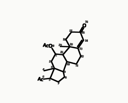 CC(=O)OC1CC2(C)C(C(C)=O)CCC2C2CCC3=CC(=O)CCC3(C)C12